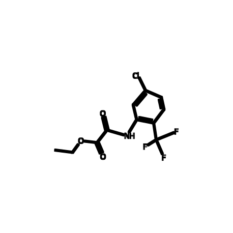 CCOC(=O)C(=O)Nc1cc(Cl)ccc1C(F)(F)F